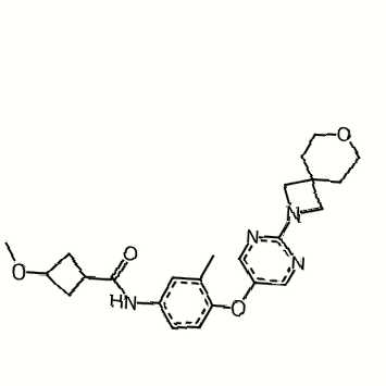 COC1CC(C(=O)Nc2ccc(Oc3cnc(N4CC5(CCOCC5)C4)nc3)c(C)c2)C1